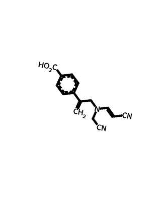 C=C(CN(C=CC#N)CC#N)c1ccc(C(=O)O)cc1